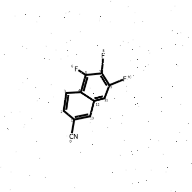 N#Cc1ccc2c(F)c(F)c(F)cc2c1